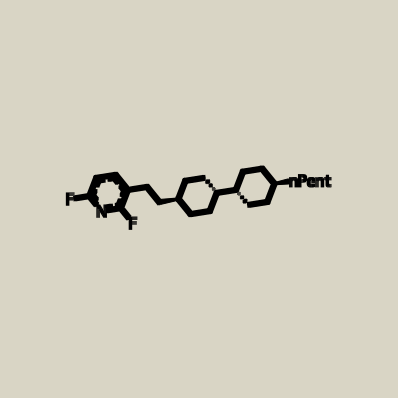 CCCCC[C@H]1CC[C@H]([C@H]2CC[C@H](CCc3ccc(F)nc3F)CC2)CC1